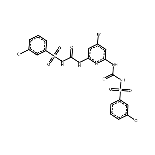 O=C(Nc1cc(Br)cc(NC(=O)NS(=O)(=O)c2cccc(Cl)c2)n1)NS(=O)(=O)c1cccc(Cl)c1